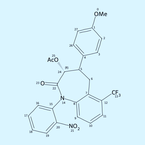 COc1ccc(C2Cc3c(cccc3C(F)(F)F)N(c3ccccc3[N+](=O)[O-])C(=O)[C@@H]2OC(C)=O)cc1